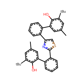 Cc1cc(-c2ccccc2-c2csc(-c3ccccc3-c3cc(C)cc(C(C)(C)C)c3O)n2)c(O)c(C(C)(C)C)c1